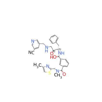 Cc1csc(CN(C)C(=O)c2cccc(C(=O)N[C@@H](Cc3ccccc3)[C@H](O)CNCc3cncc(C#N)c3)c2)n1